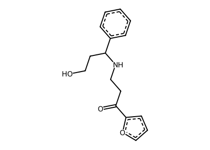 O=C(CCNC(CCO)c1ccccc1)c1ccco1